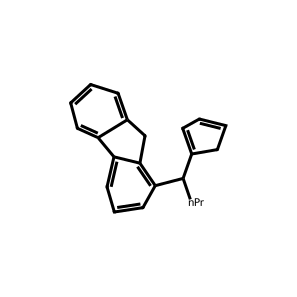 CCCC(C1=CC=CC1)c1cccc2c1Cc1ccccc1-2